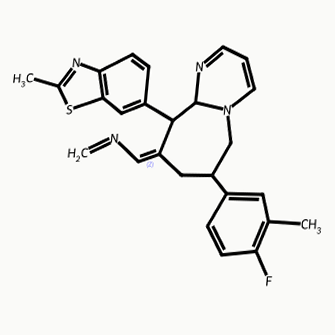 C=N/C=C1/CC(c2ccc(F)c(C)c2)CN2C=CC=NC2C1c1ccc2nc(C)sc2c1